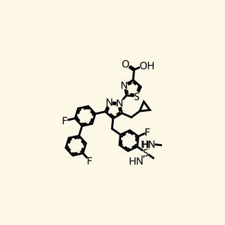 CN[SH](C)(=N)c1ccc(Cc2c(-c3ccc(F)c(-c4cccc(F)c4)c3)nn(-c3nc(C(=O)O)cs3)c2CC2CC2)cc1F